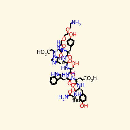 CC[C@H](C)[C@H](NC(=O)[C@H](Cc1ccc(O)cc1)NC(=O)[C@H](CCC(=O)O)NC(=O)[C@H](Cc1c[nH]c2ccccc12)NC(=O)[C@H](CO)NC(=O)[C@H](Cc1c[nH]cn1)NC(=O)[C@H](Cc1ccc(O)cc1)NC(=O)[C@H](CCC(=O)O)NC(=O)COCCOCCN)C(N)=O